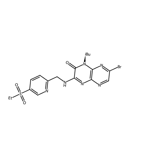 CC[C@H](C)n1c(=O)c(NCc2ccc(S(=O)(=O)CC)cn2)nc2ncc(Br)nc21